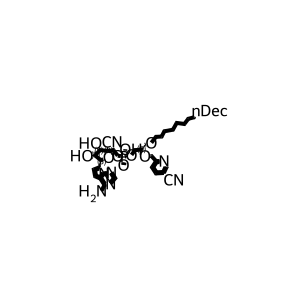 CCCCCCCCCCCCCCCCCCOC[C@@H](COP(=O)(O)OC[C@@]1(C#N)O[C@@H](c2ccc3c(N)ncnn23)[C@H](O)[C@@H]1O)OCc1ccc(C#N)cn1